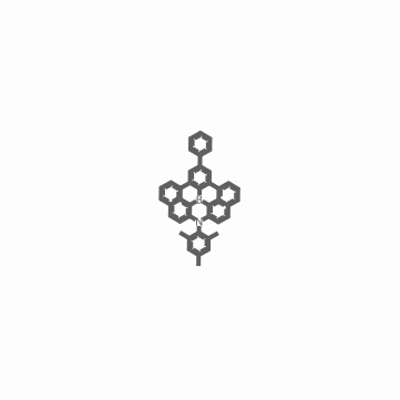 Cc1cc(C)c(N2c3ccc4cccc5c4c3B3c4c-5cc(-c5ccccc5)cc4-c4cccc5ccc2c3c45)c(C)c1